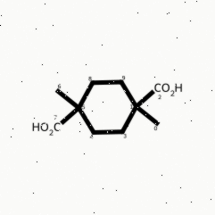 CC1(C(=O)O)CCC(C)(C(=O)O)CC1